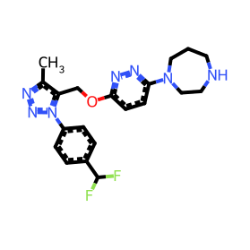 Cc1nnn(-c2ccc(C(F)F)cc2)c1COc1ccc(N2CCCNCC2)nn1